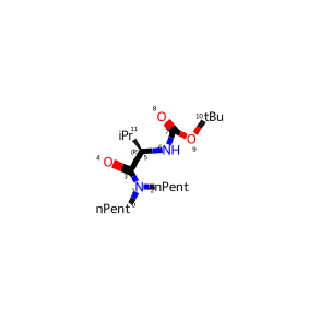 CCCCCN(CCCCC)C(=O)[C@H](NC(=O)OC(C)(C)C)C(C)C